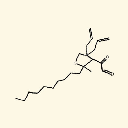 C=CCC1(CC=C)CSC(C)(CCCCCCCCCC)C1C(=O)C=O